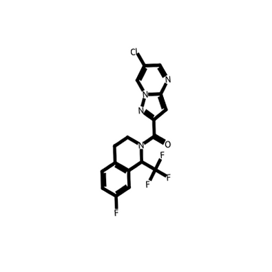 O=C(c1cc2ncc(Cl)cn2n1)N1CCc2ccc(F)cc2C1C(F)(F)F